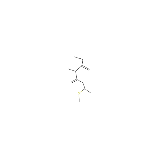 C=C(CC)C(C)C(=C)CC(C)SC